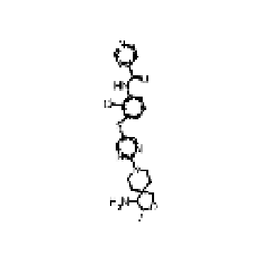 C[C@@H]1OCC2(CCN(c3ncc(Sc4cccc(NC(=O)c5ccncn5)c4Cl)cn3)CC2)[C@@H]1N